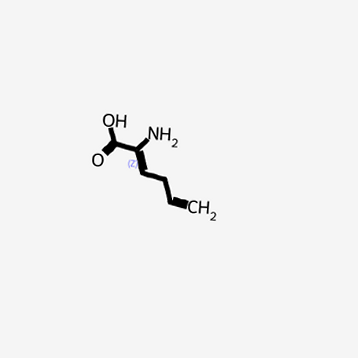 C=CC/C=C(\N)C(=O)O